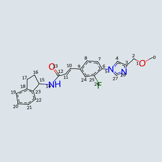 COCc1cn(-c2ccc(/C=C/C(=O)NC3CCc4ccccc43)cc2F)cn1